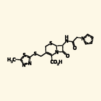 Cc1nnc(SCC2=C(C(=O)O)N3C(=O)C(NC(=O)Cn4cccc4)C3SC2)s1